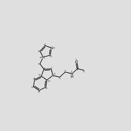 CC(=O)NCCn1cc(Cn2ccnc2)c2ccccc21